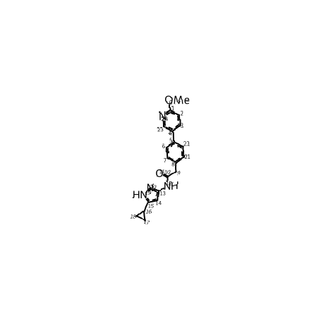 COc1ccc(-c2ccc(CC(=O)Nc3cc(C4CC4)[nH]n3)cc2)cn1